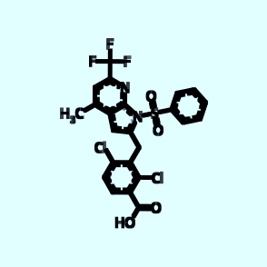 Cc1cc(C(F)(F)F)nc2c1cc(Cc1c(Cl)ccc(C(=O)O)c1Cl)n2S(=O)(=O)c1ccccc1